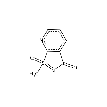 CS1(=O)=NC(=O)c2cccnc21